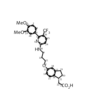 COc1ccc(-c2nc(NCCCOc3ccc4c(c3)CC[C@H]4CC(=O)O)ccc2C(F)(F)F)cc1OC